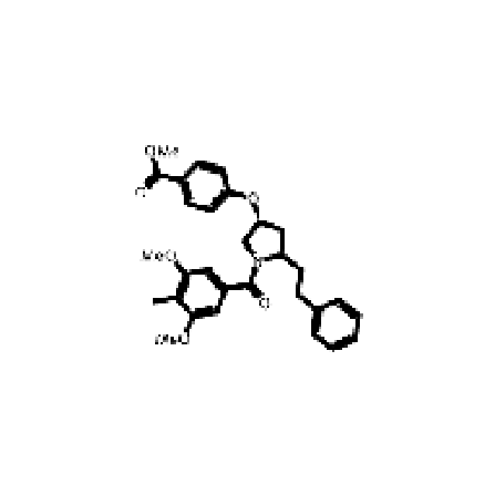 COC(=O)c1ccc(O[C@H]2CC(CCc3ccccc3)N(C(=O)c3cc(OC)c(C)c(OC)c3)C2)cc1